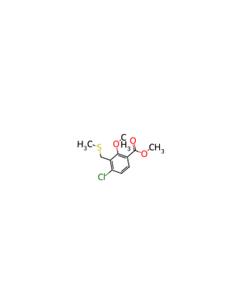 COC(=O)c1ccc(Cl)c(CSC)c1OC